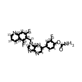 NC(=O)Oc1ccc(-c2cnc3ncn(Cc4c(F)cc5ncccc5c4F)c3n2)cc1F